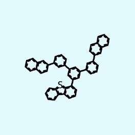 c1cc(-c2cc(-c3cccc(-c4ccc5ccccc5c4)c3)cc(-c3cccc4c3sc3ccccc34)c2)cc(-c2ccc3ccccc3c2)c1